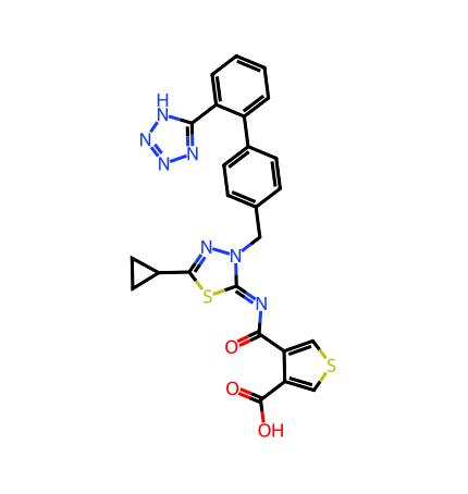 O=C(O)c1cscc1C(=O)N=c1sc(C2CC2)nn1Cc1ccc(-c2ccccc2-c2nnn[nH]2)cc1